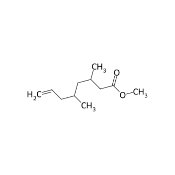 C=CCC(C)CC(C)CC(=O)OC